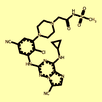 CS(=O)(=O)NC(=O)CN1CCN(c2cc(C#N)cc(Nc3nc(NC4CC4)c4ncc(C#N)n4n3)c2Cl)CC1